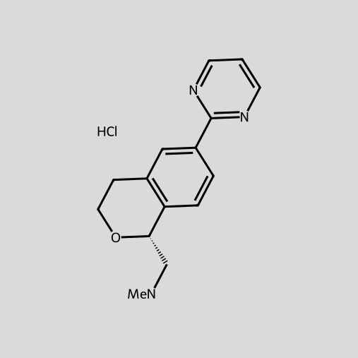 CNC[C@@H]1OCCc2cc(-c3ncccn3)ccc21.Cl